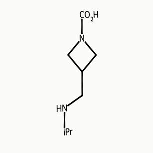 CC(C)NCC1CN(C(=O)O)C1